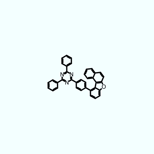 c1ccc(-c2nc(-c3ccccc3)nc(-c3ccc(-c4cccc5oc6ccc7ccccc7c6c45)cc3)n2)cc1